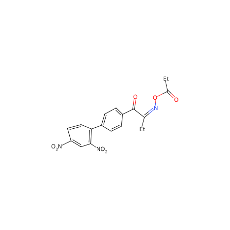 CCC(=O)O/N=C(/CC)C(=O)c1ccc(-c2ccc([N+](=O)[O-])cc2[N+](=O)[O-])cc1